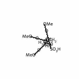 C=C(OCCCCCCOCCCCCOC)c1cc(C(=O)NCCS(=O)(=O)O)cc(C(=C)OCCCCCCOCCCCCOC)c1C(=C)OCCCCCCOCCCCCOC